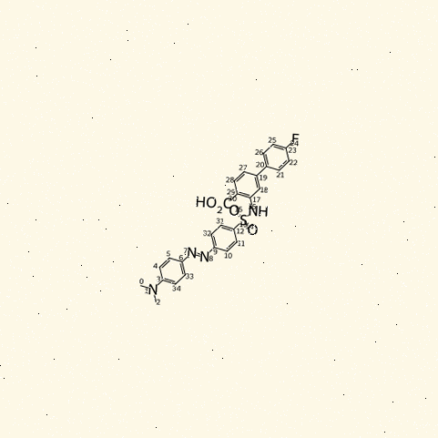 CN(C)c1ccc(/N=N/c2ccc(S(=O)(=O)Nc3cc(-c4ccc(F)cc4)ccc3C(=O)O)cc2)cc1